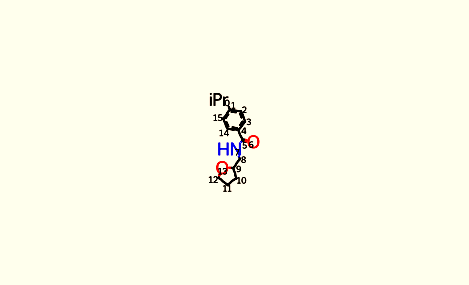 CC(C)c1ccc(C(=O)NCC2CCCO2)cc1